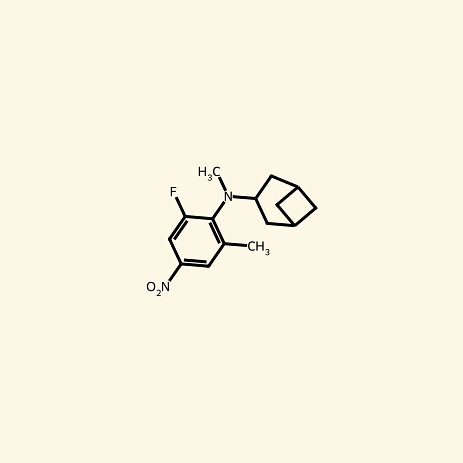 Cc1cc([N+](=O)[O-])cc(F)c1N(C)C1CC2CC(C2)C1